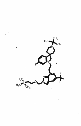 CC(C)(C)N1CCC(COCCc2cc(C(F)(F)F)cc3cn(COCC[Si](C)(C)C)nc23)(c2ccc(F)cc2)CC1